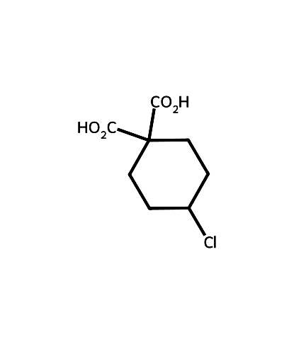 O=C(O)C1(C(=O)O)CCC(Cl)CC1